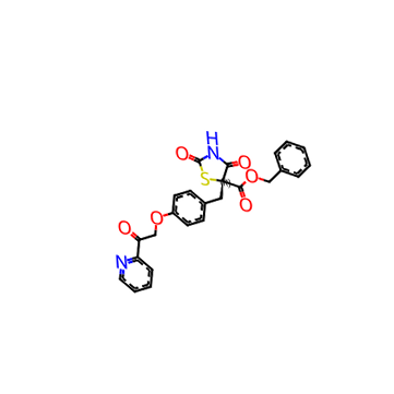 O=C1NC(=O)[C@](Cc2ccc(OCC(=O)c3ccccn3)cc2)(C(=O)OCc2ccccc2)S1